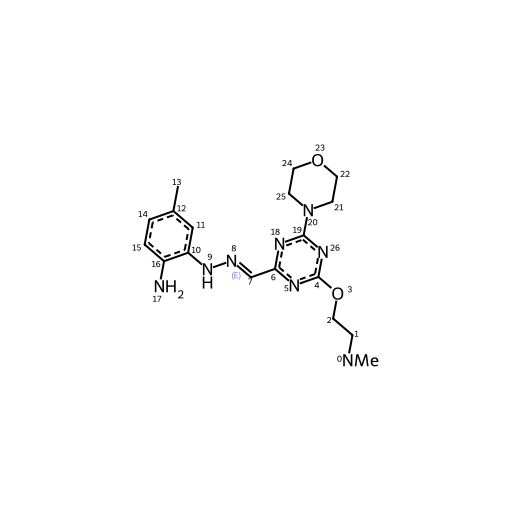 CNCCOc1nc(/C=N/Nc2cc(C)ccc2N)nc(N2CCOCC2)n1